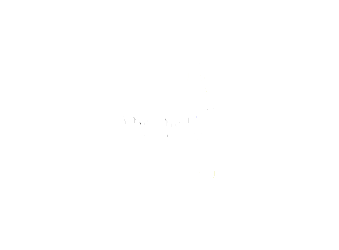 S/C=C/S.[NaH].[NaH]